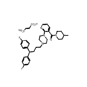 CC1CCN(C(=O)c2cccnc2N2CCN(CCCC(c3ccc(F)cc3)c3ccc(F)cc3)CC2)CC1.O=C(O)/C=C/C(=O)O